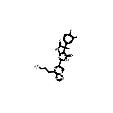 Cc1cc(C2(C)C(=O)Nc3nc(-c4cn5ncnc5c(CCCC(F)(F)F)n4)[nH]c(=O)c32)ccc1F